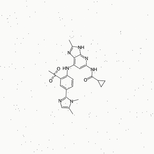 Cc1nc2c(Nc3ccc(-c4ncc(C)n4C)cc3S(C)(=O)=O)cc(NC(=O)C3CC3)nc2[nH]1